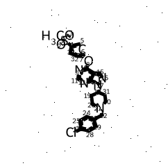 CS(=O)(=O)c1ccc(Oc2ncnc3c2cnn3C2CCN(Cc3ccc(Cl)cc3)CC2)cc1